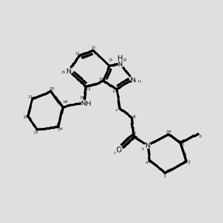 CC1CCCN(C(=O)CCc2n[nH]c3ccnc(NC4CCCCC4)c23)C1